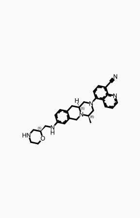 C[C@@H]1CN(c2ccc(C#N)c3ncccc23)C[C@@H]2Cc3ccc(NC[C@@H]4CNCCO4)cc3CN21